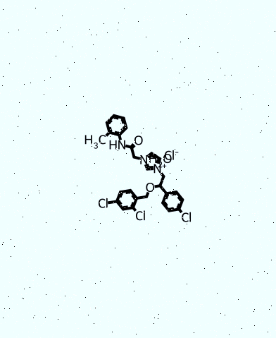 Cc1ccccc1NC(=O)Cn1cc[n+](CC(OCc2ccc(Cl)cc2Cl)c2ccc(Cl)cc2)c1.O.[Cl-]